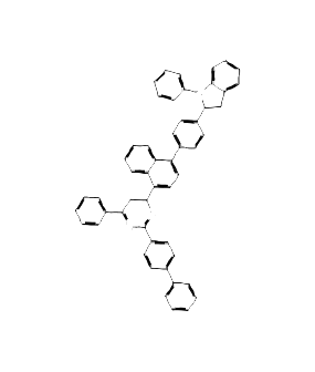 c1ccc(C2=NC(c3ccc(-c4ccccc4)cc3)=NC(c3ccc(-c4ccc(C5Cc6ccccc6N5c5ccccc5)cc4)c4ccccc34)C2)cc1